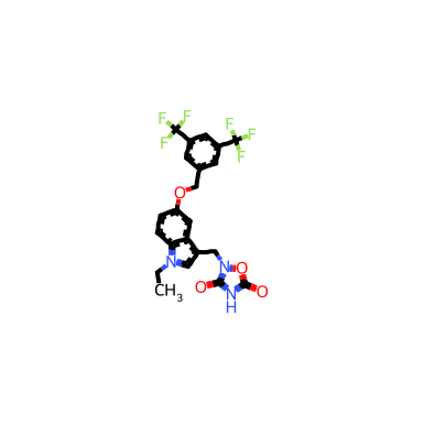 CCn1cc(Cn2oc(=O)[nH]c2=O)c2cc(OCc3cc(C(F)(F)F)cc(C(F)(F)F)c3)ccc21